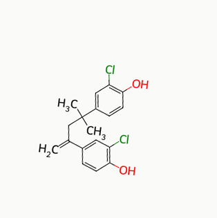 C=C(CC(C)(C)c1ccc(O)c(Cl)c1)c1ccc(O)c(Cl)c1